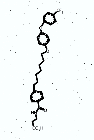 O=C(O)CCNC(=O)c1ccc(CCCCCCCOc2ccc(Oc3ccc(C(F)(F)F)cc3)cc2)cc1